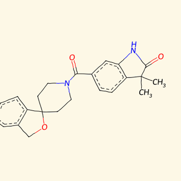 CC1(C)C(=O)Nc2cc(C(=O)N3CCC4(CC3)OCc3ccccc34)ccc21